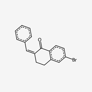 O=C1C(=Cc2ccccc2)CCc2cc(Br)ccc21